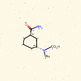 CC(C)(C)N(C(=O)O)[C@@H]1CCC[C@@H](C(N)=O)C1